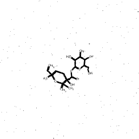 C=CC1(C)CCC(O)(C(OC2OC(CO)C(O)C(O)C2O)C(C)C)C(C)(C)O1